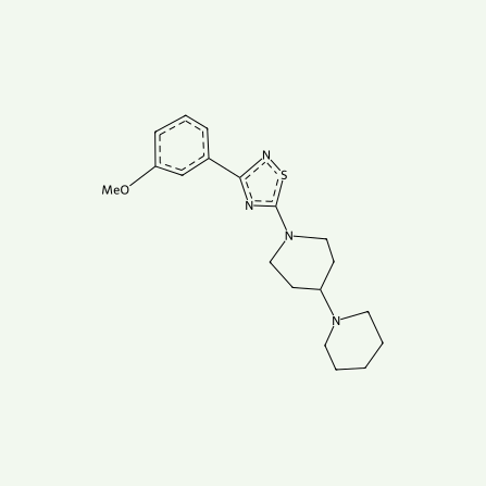 COc1cccc(-c2nsc(N3CCC(N4CCCCC4)CC3)n2)c1